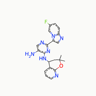 CC1(C)CC(Nc2nc(-c3cnc4ccc(F)cn34)ncc2N)c2cccnc2O1